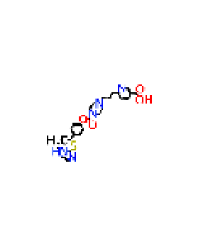 CC(Sc1ncc[nH]1)c1ccc(OC(=O)N2CCN(CCCc3ccc(C(=O)O)cn3)CC2)cc1